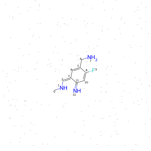 CN/C=C1/C=C(CN)C(F)=CC1=N